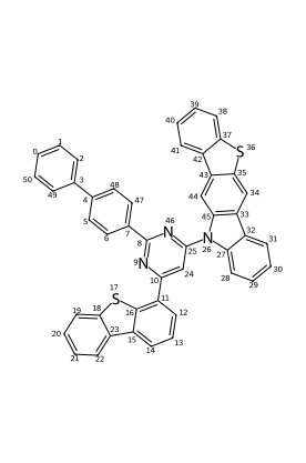 c1ccc(-c2ccc(-c3nc(-c4cccc5c4sc4ccccc45)cc(-n4c5ccccc5c5cc6sc7ccccc7c6cc54)n3)cc2)cc1